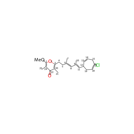 COc1oc(CC/C(C)=C/C(C)=C/C2C=CCC(Cl)=CC2)c(C)c(=O)c1C